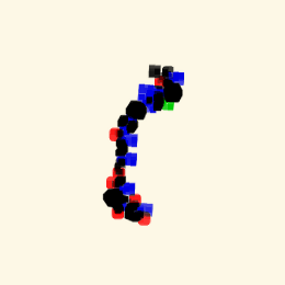 CNC(=O)c1ccccc1Nc1nc(Nc2ccc(N3CCN(C(=O)NCCCNCCOCC(=O)Nc4cccc5c4CN(C4CCC(=O)NC4=O)C5=O)CC3)cc2)ncc1Cl